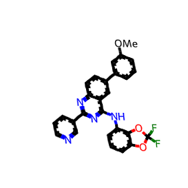 COc1cccc(-c2ccc3nc(-c4cccnc4)nc(Nc4cccc5c4OC(F)(F)O5)c3c2)c1